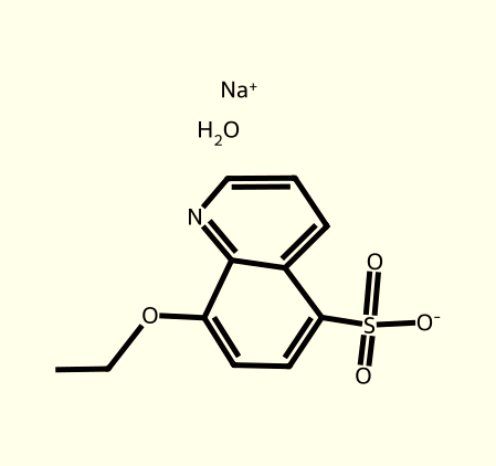 CCOc1ccc(S(=O)(=O)[O-])c2cccnc12.O.[Na+]